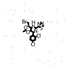 CC(=O)OC1=C(CCBr)NC(c2nncs2)=NC1c1ccc(Cl)cc1Cl